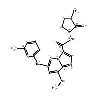 CNc1cc(Nc2cccc(C)n2)nn2c(C(=O)N[C@@H]3CCN(C)C3=O)cnc12